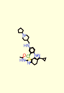 CC(=O)Nc1nc2c(s1)-c1c(c(C3CC3)nn1-c1ccc(NCC3CCN(C4CCCC4)CC3)cc1Cl)CC2